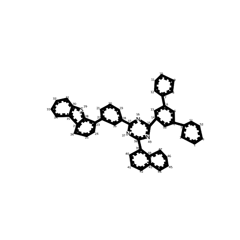 c1ccc(-c2cc(-c3ccccc3)cc(-c3nc(-c4cccc(-c5cccc6c5sc5ccccc56)c4)nc(-c4cccc5ccccc45)n3)c2)cc1